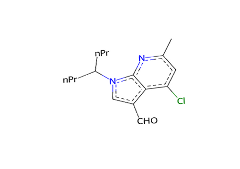 CCCC(CCC)n1cc(C=O)c2c(Cl)cc(C)nc21